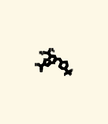 CC(C)c1cc(CC2CCC(C(F)(F)F)CC2)nc2cc(C(=O)O)nn12